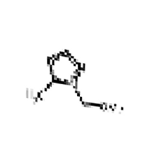 COCn1nccc1C